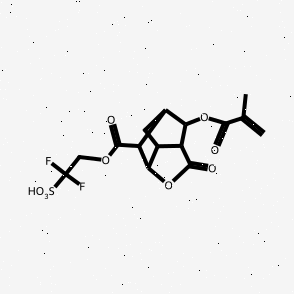 C=C(C)C(=O)OC1C2CC3C(OC(=O)C31)C2C(=O)OCC(F)(F)S(=O)(=O)O